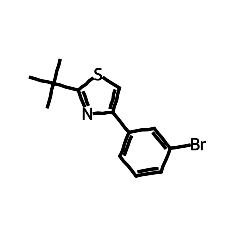 CC(C)(C)c1nc(-c2cccc(Br)c2)cs1